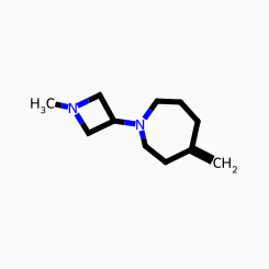 C=C1CCCN(C2CN(C)C2)CC1